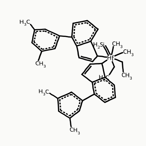 C[CH2][Hf]([CH3])([CH3])(=[SiH2])([CH2]C)([CH]1C=Cc2c(-c3cc(C)cc(C)c3)cccc21)[CH]1C=Cc2c(-c3cc(C)cc(C)c3)cccc21